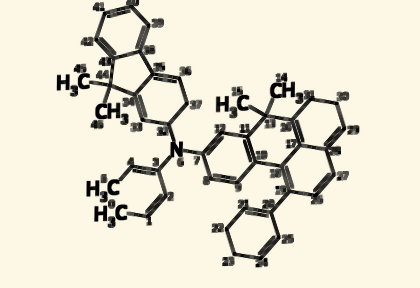 C/C=C\C(=C/C)N(c1ccc2c(c1)C(C)(C)C1=c3c-2c(C2=CCCC=C2)ccc3=CCC1)C1C=C2C(=CC1)c1ccccc1C2(C)C